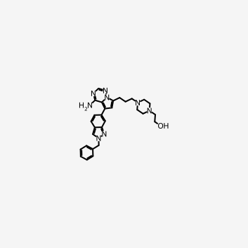 Nc1ncnn2c(CCCN3CCN(CCO)CC3)cc(-c3ccc4cn(Cc5ccccc5)nc4c3)c12